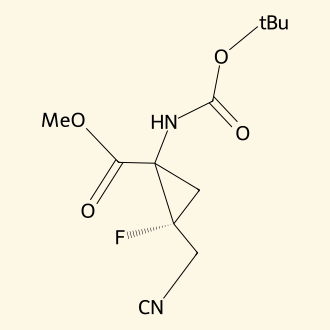 [C-]#[N+]C[C@]1(F)CC1(NC(=O)OC(C)(C)C)C(=O)OC